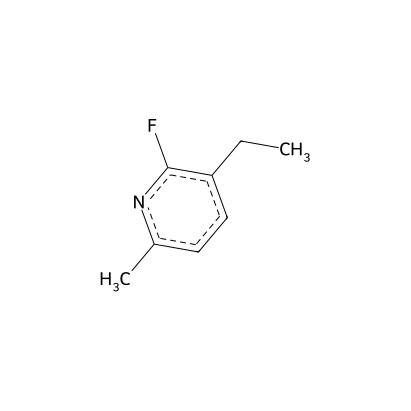 CCc1ccc(C)nc1F